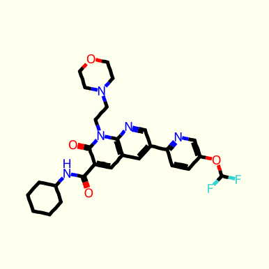 O=C(NC1CCCCC1)c1cc2cc(-c3ccc(OC(F)F)cn3)cnc2n(CCN2CCOCC2)c1=O